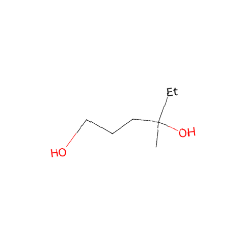 CCC(C)(O)CCCO